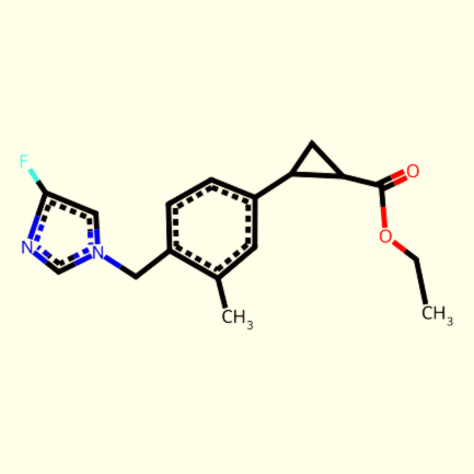 CCOC(=O)C1CC1c1ccc(Cn2cnc(F)c2)c(C)c1